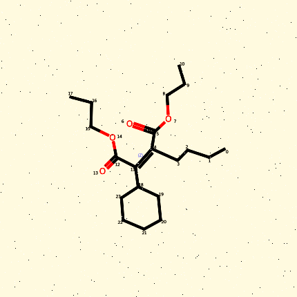 CCCC/C(C(=O)OCCC)=C(/C(=O)OCCC)C1CCCCC1